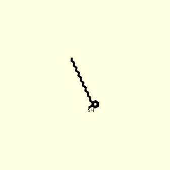 CCCCCCCCCCCCCCCCCCc1ccccc1CS